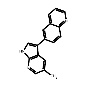 Cc1cnc2[nH]cc(-c3ccc4ncccc4c3)c2c1